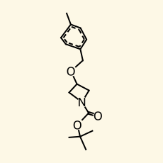 Cc1ccc(COC2CN(C(=O)OC(C)(C)C)C2)cc1